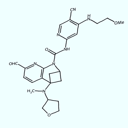 COCCNc1cc(NC(=O)N2c3nc(C=O)ccc3C3(N(C)C4CCOC4)CC2C3)ncc1C#N